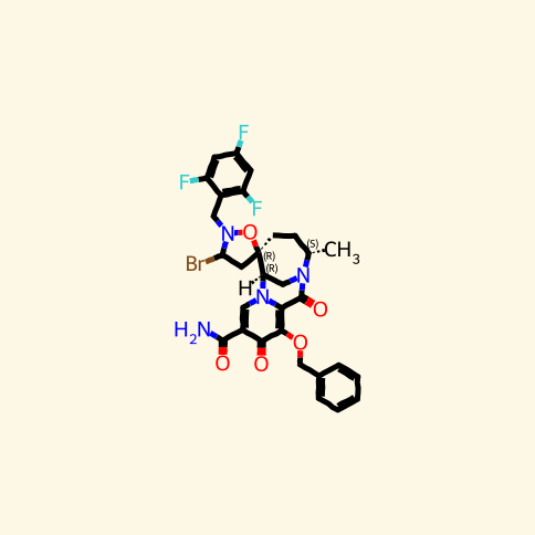 C[C@H]1CC[C@@]2(CC(Br)N(Cc3c(F)cc(F)cc3F)O2)[C@H]2CN1C(=O)c1c(OCc3ccccc3)c(=O)c(C(N)=O)cn12